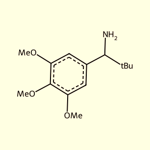 COc1cc(C(N)C(C)(C)C)cc(OC)c1OC